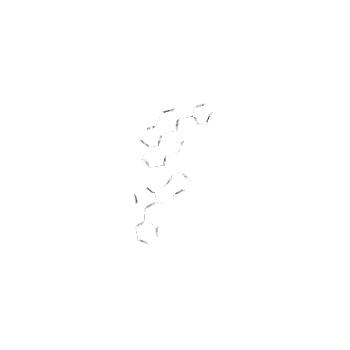 c1ccc(-c2ccc3ccc4ccc(-c5cccc6oc7c(-c8ccccc8)cccc7c56)c5ccc2c3c45)cc1